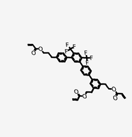 C=CC(=O)OCCCc1ccc(-c2cc(-c3ccc(-c4cc(CCOC(=O)C=C)cc(CCOC(=O)C=C)c4)cc3)c(C(F)(F)F)cc2C(F)(F)F)cc1